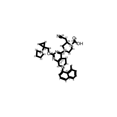 Cc1cccc2cccc(N3CCc4c(nc(OCC5(N6CCCC6)CC5)nc4N4CCN(C(=O)O)C(CC#N)C4)C3)c12